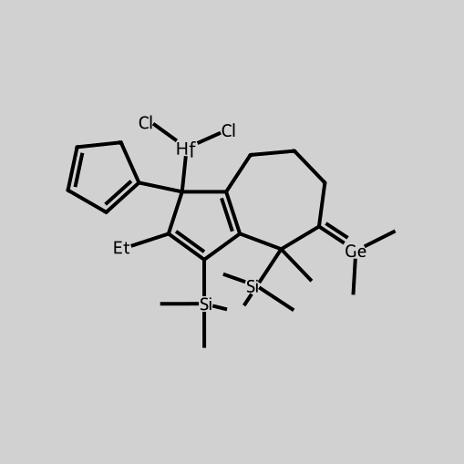 CCC1=C([Si](C)(C)C)C2=C(CCC[C](=[Ge]([CH3])[CH3])C2(C)[Si](C)(C)C)[C]1(C1=CC=CC1)[Hf]([Cl])[Cl]